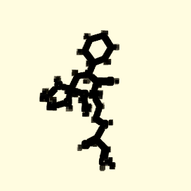 C=CC(=O)OCCNC(=O)N(C[Si](OCC)(OCC)OCC)C1CCCCC1